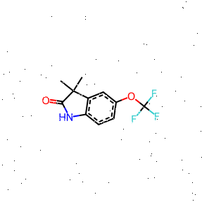 CC1(C)C(=O)Nc2ccc(OC(F)(F)F)cc21